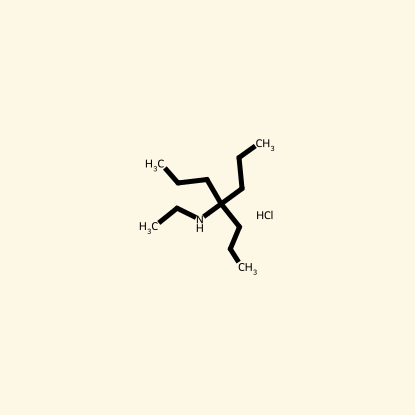 CCCC(CCC)(CCC)NCC.Cl